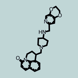 O=c1ccc2cccc3c2n1CCC3CN1CCC(NCc2cc3c(cn2)OCCO3)CC1